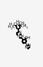 CC1(C)CC(c2ccn3cc(-c4ccc(-n5nccn5)cc4O)nc3n2)CC(C)(C)N1